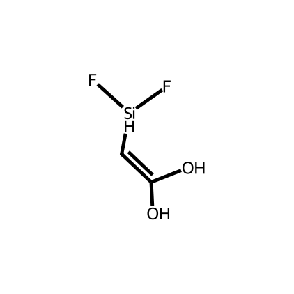 OC(O)=C[SiH](F)F